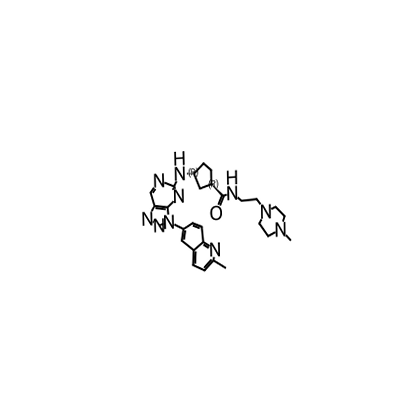 Cc1ccc2cc(-n3nnc4cnc(N[C@@H]5CC[C@@H](C(=O)NCCN6CCN(C)CC6)C5)nc43)ccc2n1